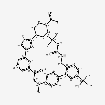 CC(=O)N1CCC(n2cc(-c3cncc(C(=O)N[C@H](C)c4ccc(-c5cc(C(F)(F)F)ccc5CNC(=O)OC(C)(C)C)cc4)c3)cn2)CC1